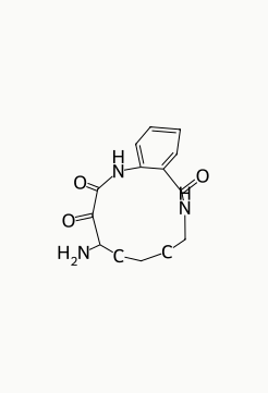 NC1CCCCNC(=O)c2ccccc2NC(=O)C1=O